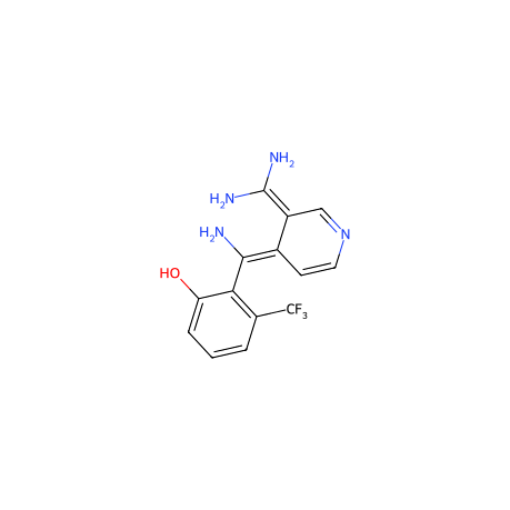 NC(N)=c1cncc/c1=C(/N)c1c(O)cccc1C(F)(F)F